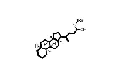 C/C(CCC(O)OC(C)(C)C)=C1/CC[C@H]2[C@@H]3CC[C@@H]4CCCC[C@]4(C)[C@H]3CC[C@]12C